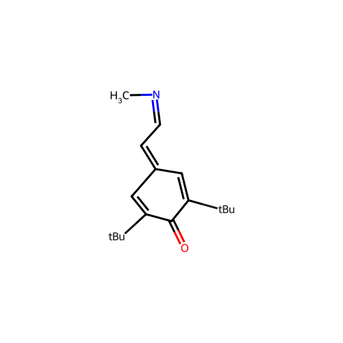 C/N=C\C=C1C=C(C(C)(C)C)C(=O)C(C(C)(C)C)=C1